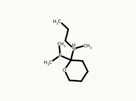 CCC[SiH](C)C1(N(C)C)CCCCO1